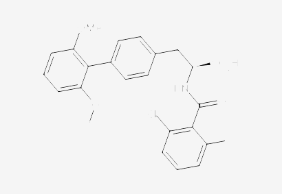 CCOc1cccc(OC)c1-c1ccc(C[C@H](NC(=O)c2c(Cl)cccc2Cl)C(=O)O)cc1